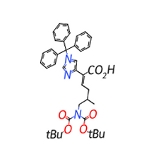 CC(C/C=C(\C(=O)O)c1cn(C(c2ccccc2)(c2ccccc2)c2ccccc2)cn1)CN(C(=O)OC(C)(C)C)C(=O)OC(C)(C)C